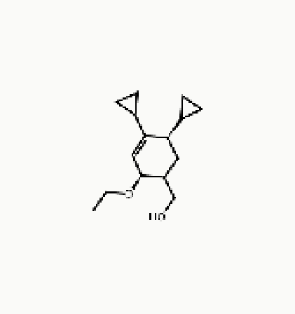 CCO[C@H]1C=C(C2CC2)[C@@H](C2CC2)CC1CO